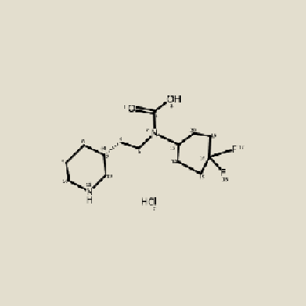 Cl.O=C(O)N(CC[C@H]1CCCNC1)C1CCC(F)(F)CC1